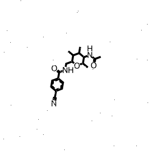 CC(=O)NC1C(C)OC(CNC(=O)c2ccc(C#N)cc2)C(C)C1C